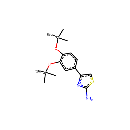 CC(C)(C)[Si](C)(C)Oc1ccc(-c2csc(N)n2)cc1O[Si](C)(C)C(C)(C)C